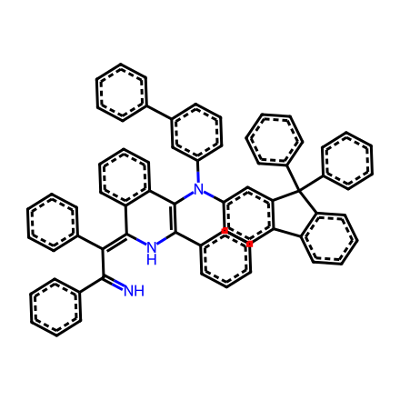 N=C(/C(=C1\NC(c2ccccc2)=C(N(c2cccc(-c3ccccc3)c2)c2ccc3c(c2)C(c2ccccc2)(c2ccccc2)c2ccccc2-3)c2ccccc21)c1ccccc1)c1ccccc1